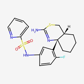 NC1=N[C@@]2(c3cc(NS(=O)(=O)c4ccccn4)ccc3F)CCCC[C@H]2CS1